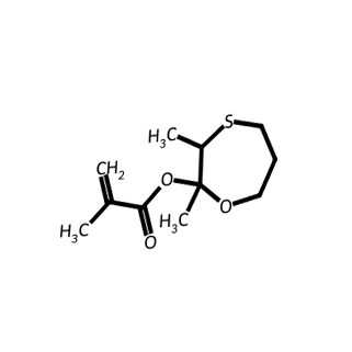 C=C(C)C(=O)OC1(C)OCCCSC1C